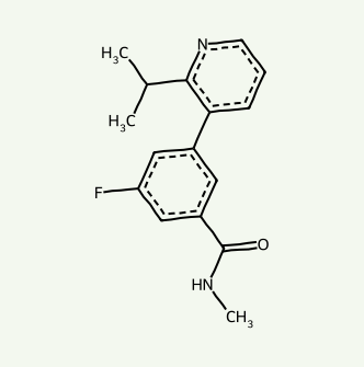 CNC(=O)c1cc(F)cc(-c2cccnc2C(C)C)c1